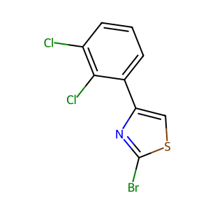 Clc1cccc(-c2csc(Br)n2)c1Cl